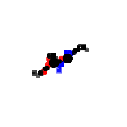 CC/C=C/Nc1cccc(Oc2n[nH]c3cc(OCCOC)c(OC)cc23)c1